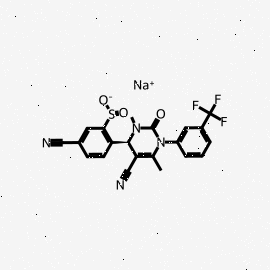 CC1=C(C#N)[C@@H](c2ccc(C#N)cc2S(=O)[O-])N(C)C(=O)N1c1cccc(C(F)(F)F)c1.[Na+]